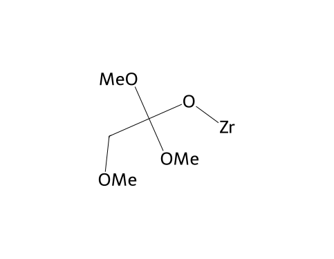 COCC(OC)(OC)[O][Zr]